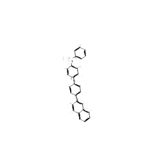 c1ccc(Nc2ccc(-c3ccc(-c4ccc5ccccc5c4)cc3)cc2)cc1